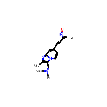 C=C(/C=C/c1ccn2c(CN(CC)CCCC)c(C(C)(C)C)nc2c1)NO